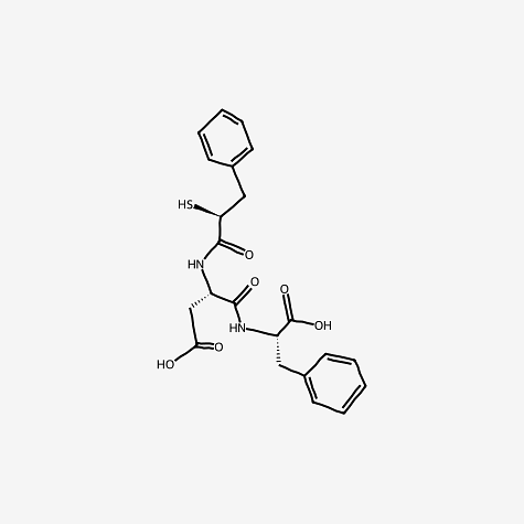 O=C(O)C[C@H](NC(=O)[C@@H](S)Cc1ccccc1)C(=O)N[C@@H](Cc1ccccc1)C(=O)O